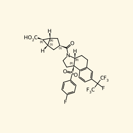 O=C(O)[C@H]1[C@@H]2C[C@@H](C(=O)N3CC[C@@]4(S(=O)(=O)c5ccc(F)cc5)c5ccc(C(F)(C(F)(F)F)C(F)(F)F)cc5CC[C@@H]34)C[C@@H]21